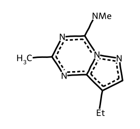 CCc1cnn2c(NC)nc(C)nc12